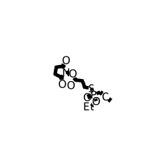 C=C=CP(=O)(OCC)SCCC(=O)ON1C(=O)CCC1=O